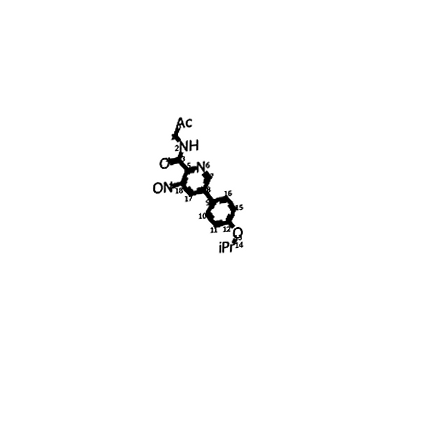 CC(=O)CNC(=O)c1ncc(-c2ccc(OC(C)C)cc2)cc1N=O